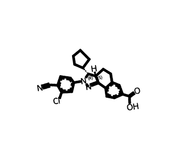 N#Cc1ccc(N2N=C3c4ccc(C(=O)O)cc4CC[C@H]3[C@H]2C2CCCC2)cc1Cl